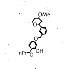 CCCC(=O)c1ccc(OCc2cccc(C3CC(OC)CCO3)c2)cc1O